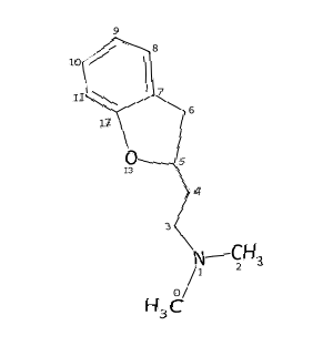 CN(C)CCC1Cc2ccccc2O1